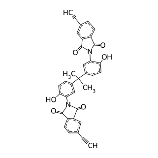 C#Cc1ccc2c(c1)C(=O)N(c1cc(C(C)(C)c3ccc(O)c(N4C(=O)c5ccc(C#C)cc5C4=O)c3)ccc1O)C2=O